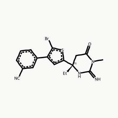 CC[C@@]1(c2cc(-c3cccc(C#N)c3)c(Br)s2)CC(=O)N(C)C(=N)N1